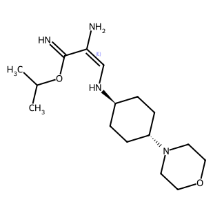 CC(C)OC(=N)/C(N)=C\N[C@H]1CC[C@H](N2CCOCC2)CC1